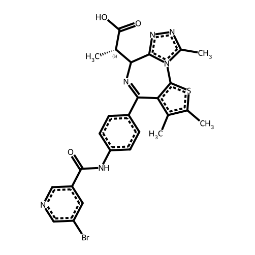 Cc1sc2c(c1C)C(c1ccc(NC(=O)c3cncc(Br)c3)cc1)=NC([C@H](C)C(=O)O)c1nnc(C)n1-2